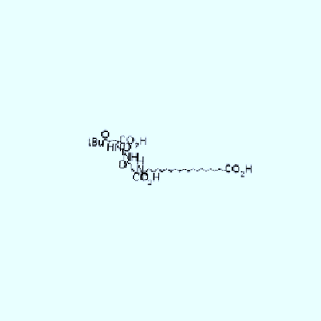 CC(C)(C)C(=O)CCC(NC(=O)CNC(=O)CCC(NC(=O)CCCCCCCCCCCCCCCCCCC(=O)O)C(=O)O)C(=O)O